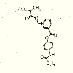 CC(=O)Nc1ccc(OC(=O)c2ccc[n+](COC(=O)C(C)C)c2)cc1